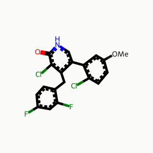 COc1ccc(Cl)c(-c2c[nH]c(=O)c(Cl)c2Cc2ccc(F)cc2F)c1